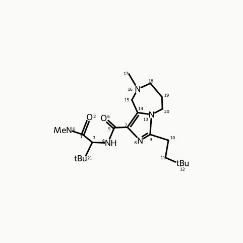 CNC(=O)C(NC(=O)c1nc(CCC(C)(C)C)n2c1CN(C)CCC2)C(C)(C)C